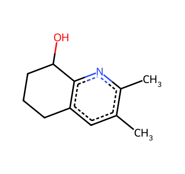 Cc1cc2c(nc1C)C(O)CCC2